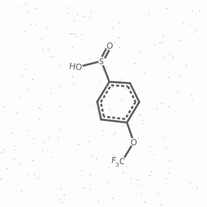 O=S(O)c1ccc(OC(F)(F)F)cc1